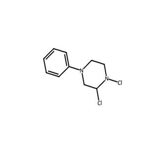 ClC1CN(c2ccccc2)CCN1Cl